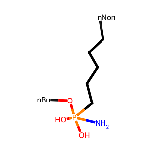 CCCCCCCCCCCCCCP(N)(O)(O)OCCCC